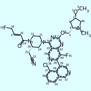 CO[C@@H]1C[C@@H](COc2nc(N3CCN(C(=O)/C=C/CF)[C@@H](CC#N)C3)c3cnc(-c4cncc5cccc(Cl)c45)c(F)c3n2)N(C)C1